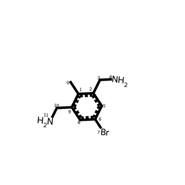 Cc1c(CN)cc(Br)cc1CN